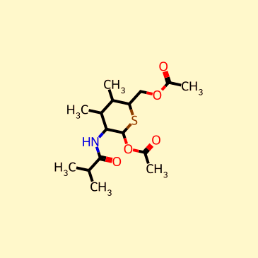 CC(=O)OCC1SC(OC(C)=O)C(NC(=O)C(C)C)C(C)C1C